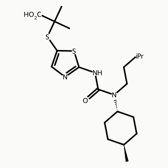 CC(C)CCN(C(=O)Nc1ncc(SC(C)(C)C(=O)O)s1)[C@H]1CC[C@H](C)CC1